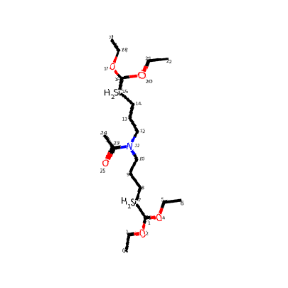 CCOC(OCC)[SiH2]CCCN(CCC[SiH2]C(OCC)OCC)C(C)=O